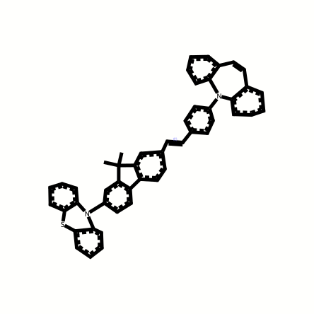 CC1(C)c2cc(/C=C/c3ccc(N4c5ccccc5C=Cc5ccccc54)cc3)ccc2-c2ccc(N3c4ccccc4Sc4ccccc43)cc21